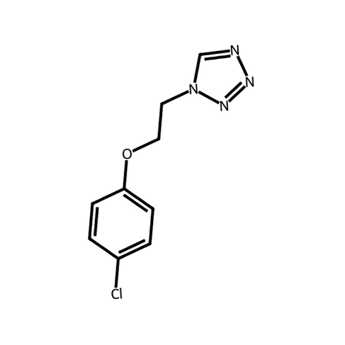 Clc1ccc(OCCn2cnnn2)cc1